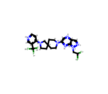 FC(F)Cn1ncc2ncc(N3CCC4(CC3)CCN(c3ccncc3C(F)(F)F)C4)nc21